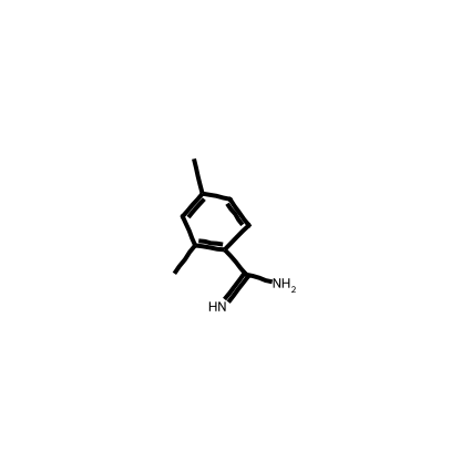 Cc1ccc(C(=N)N)c(C)c1